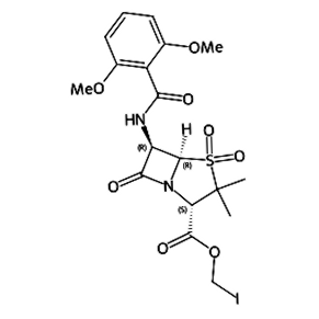 COc1cccc(OC)c1C(=O)N[C@@H]1C(=O)N2[C@@H](C(=O)OCI)C(C)(C)S(=O)(=O)[C@H]12